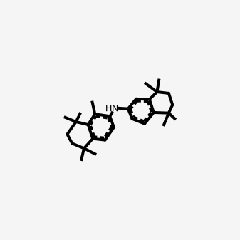 Cc1c(Nc2ccc3c(c2)C(C)(C)CCC3(C)C)ccc2c1C(C)(C)CCC2(C)C